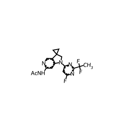 CC(=O)Nc1cc2c(cn1)C1(CC1)CN2c1cc(F)nc(C(C)(F)F)n1